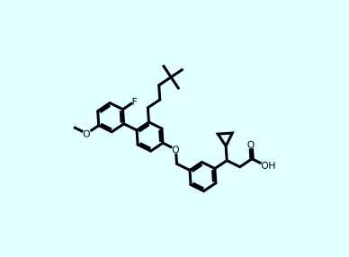 COc1ccc(F)c(-c2ccc(OCc3cccc(C(CC(=O)O)C4CC4)c3)cc2CCCC(C)(C)C)c1